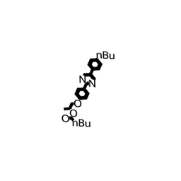 CCCCC(=O)OC(C)COc1ccc(-c2ncc(-c3ccc(CCCC)cc3)cn2)cc1